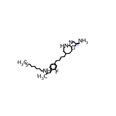 C=C(Cc1ccc(CCCCC2CCCC(/N=C\C(Cl)=C/N)NCC2)cc1F)NCCCCCCSC